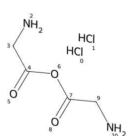 Cl.Cl.NCC(=O)OC(=O)CN